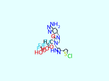 C[C@H]1C(=O)N(Cc2ccc3c(N)ncnc3c2)CCN1Cc1cc(-c2ccc(Cl)s2)n[nH]1.O=C(O)C(F)(F)F.O=C(O)C(F)(F)F